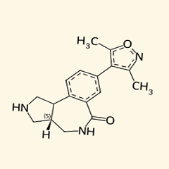 Cc1noc(C)c1-c1ccc2c(c1)C(=O)NC[C@@H]1CNCC21